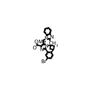 COC(=O)c1nc2n(c1Cn1c(C)nc3ccccc31)C1CC(C1)c1ccc(Br)cc1-2